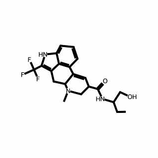 CCC(CO)NC(=O)C1C=C2c3cccc4[nH]c(C(F)(F)F)c(c34)CC2N(C)C1